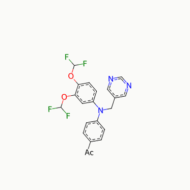 CC(=O)c1ccc(N(Cc2cncnc2)c2ccc(OC(F)F)c(OC(F)F)c2)cc1